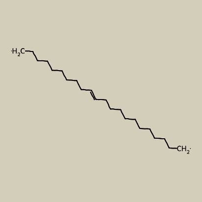 [CH2]CCCCCCCCC=CCCCCCCCCCC[CH2]